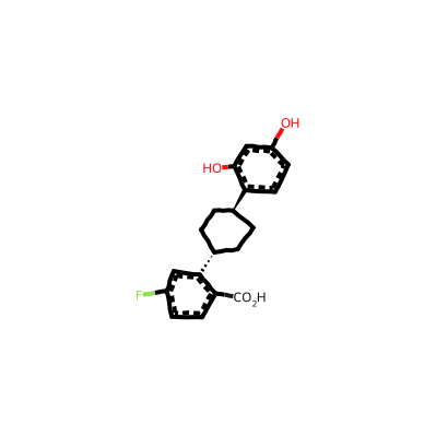 O=C(O)c1ccc(F)cc1[C@H]1CC[C@H](c2ccc(O)cc2O)CC1